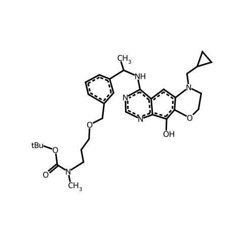 CC(Nc1ncnc2c(O)c3c(cc12)N(CC1CC1)CCO3)c1cccc(COCCCN(C)C(=O)OC(C)(C)C)c1